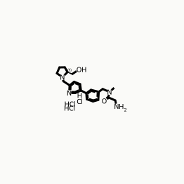 CN(Cc1cccc(-c2ccc(CN3CCC[C@H]3CO)nc2)c1)C(=O)CN.Cl.Cl.Cl